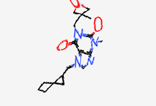 Cn1c(=O)n(CC2(C)COC2)c(=O)c2c1ncn2CC1CC12CCC2